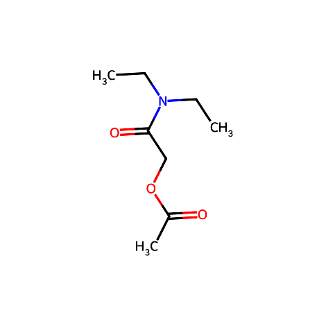 CCN(CC)C(=O)COC(C)=O